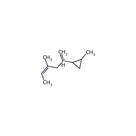 C=[PH](C/C(C)=C\C)C1CC1C